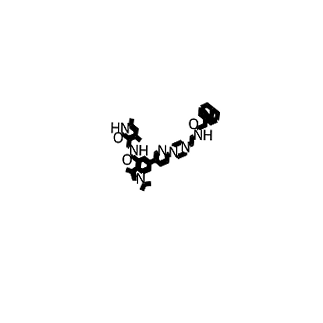 Cc1cc(C)c(CNC(=O)c2cc(-c3ccc(N4CCN(CCNC(=O)CC56CC7CC(CC(C7)C5)C6)CC4)nc3)cc3c2c(C)cn3C(C)C)c(=O)[nH]1